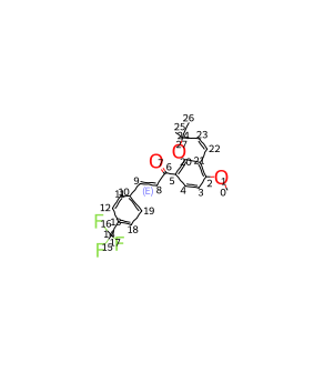 COc1ccc(C(=O)/C=C/c2ccc(C(F)(F)F)cc2)c2c1C=CC(C)(C)O2